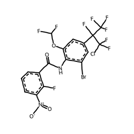 O=C(Nc1c(Br)cc(C(F)(C(F)(F)F)C(F)(F)Cl)cc1OC(F)F)c1cccc([N+](=O)[O-])c1F